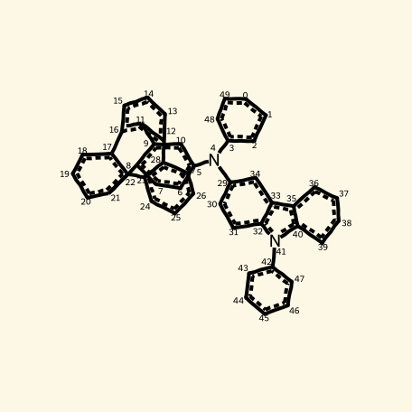 c1ccc(N(c2ccc3c(c2)-c2c4cccc2-c2cccc-3c2-c2ccccc2-4)c2ccc3c(c2)c2ccccc2n3-c2ccccc2)cc1